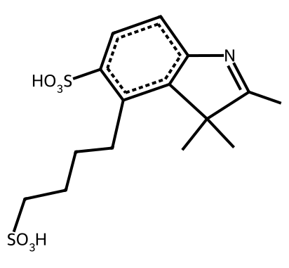 CC1=Nc2ccc(S(=O)(=O)O)c(CCCCS(=O)(=O)O)c2C1(C)C